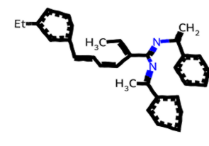 C=C(/N=C(\N=C(/C)c1ccccc1)C(/C=C\C=C\c1cccc(CC)c1)=C/C)c1ccccc1